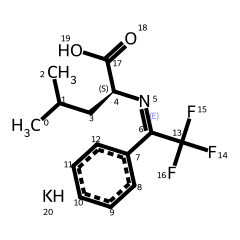 CC(C)C[C@H](/N=C(\c1ccccc1)C(F)(F)F)C(=O)O.[KH]